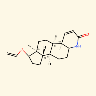 C=COC1CC[C@H]2[C@@H]3CCC4NC(=O)C=C[C@]4(C)[C@@H]3CC[C@]12C